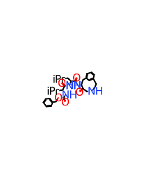 CC(C)CC(NC(=O)C(NC(=O)OCc1ccccc1)C(C)C)C(=O)NC1Cc2cccc(c2)CCNCC1=O